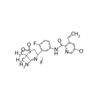 C=Cc1cc(Cl)cnc1C(=O)Nc1ccc(F)c([C@]2(CF)CS(=O)(=O)C(C)(C)C(N)=N2)c1